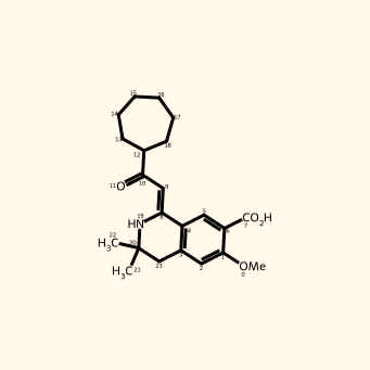 COc1cc2c(cc1C(=O)O)/C(=C/C(=O)C1CCCCCC1)NC(C)(C)C2